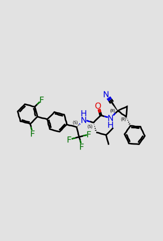 CC(C)C[C@H](N[C@@H](c1ccc(-c2c(F)cccc2F)cc1)C(F)(F)F)C(=O)N[C@]1(C#N)C[C@@H]1c1ccccc1